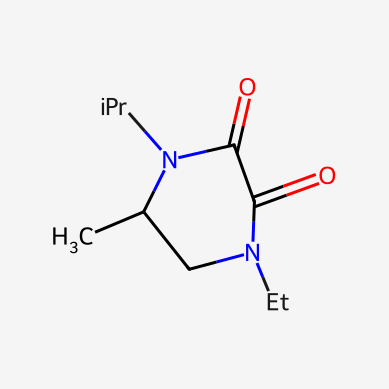 CCN1CC(C)N(C(C)C)C(=O)C1=O